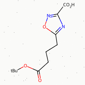 CC(C)(C)OC(=O)CCCc1nc(C(=O)O)no1